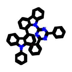 c1ccc(-c2nc(-c3ccccc3)nc(-n3c4ccccc4c4cccc(-c5cccc6c5c5ccccc5n6-c5ccccc5)c43)n2)cc1